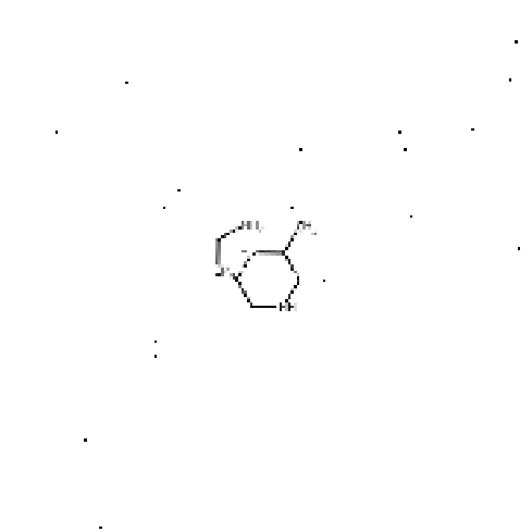 CC1CNCCN1.CCN